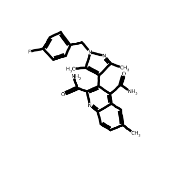 Cc1ccc2nc(C(N)=O)c(-c3c(C)nn(Cc4ccc(F)cc4)c3C)c(C(N)=O)c2c1